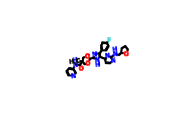 CC1(C(=O)Nc2cccnc2)COC(c2nc(-c3ccc(F)cc3)c(-c3ccnc(NCC4CCCO4)n3)[nH]2)OC1